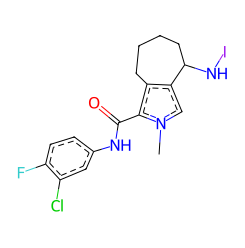 Cn1cc2c(c1C(=O)Nc1ccc(F)c(Cl)c1)CCCCC2NI